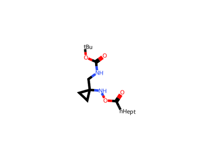 CCCCCCCC(=O)ONC1(CNC(=O)OC(C)(C)C)CC1